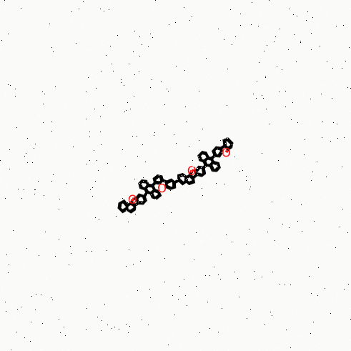 c1ccc2c(c1)ccc1c3ccc(-c4c5ccccc5c(-c5cccc6c5oc5ccc(-c7ccc8c(ccc9c%10ccc(-c%11c%12ccccc%12c(-c%12ccc%13c(c%12)oc%12ccccc%12%13)c%12ccccc%11%12)cc%10oc89)c7)cc56)c5ccccc45)cc3oc21